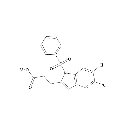 COC(=O)CCc1cc2cc(Cl)c(Cl)cc2n1S(=O)(=O)c1ccccc1